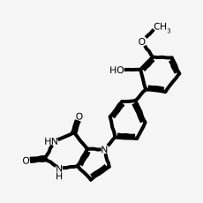 COc1cccc(-c2ccc(-n3ccc4[nH]c(=O)[nH]c(=O)c43)cc2)c1O